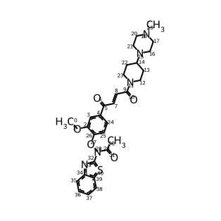 COc1cc(C(=O)C=CC(=O)N2CCC(N3CCN(C)CC3)CC2)ccc1ON(C(C)=O)c1nc2ccccc2s1